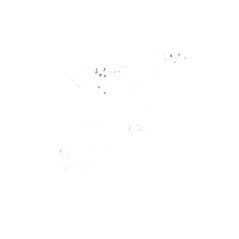 COc1cccc([C@H](c2cc3c(cc2O)OCO3)N2CCCC2)c1OC